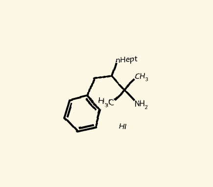 CCCCCCCC(Cc1ccccc1)C(C)(C)N.I